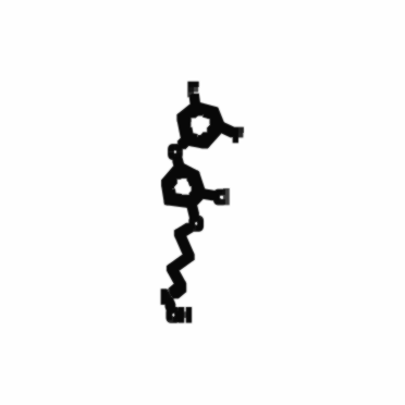 ON=CCCCOc1ccc(Oc2cc(F)cc(F)c2)cc1Cl